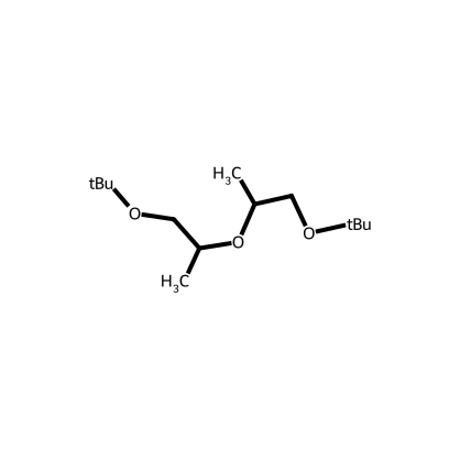 CC(COC(C)(C)C)OC(C)COC(C)(C)C